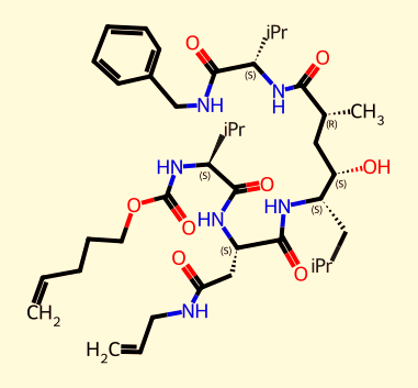 C=CCCCOC(=O)N[C@H](C(=O)N[C@@H](CC(=O)NCC=C)C(=O)N[C@@H](CC(C)C)[C@@H](O)C[C@@H](C)C(=O)N[C@H](C(=O)NCc1ccccc1)C(C)C)C(C)C